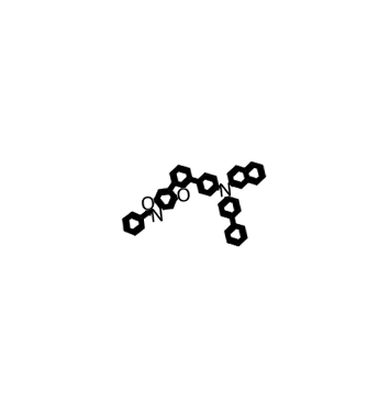 c1ccc(-c2ccc(N(c3ccc(-c4cccc5c4oc4cc6nc(-c7ccccc7)oc6cc45)cc3)c3ccc4ccccc4c3)cc2)cc1